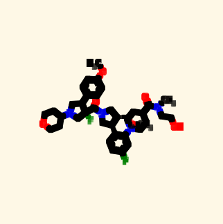 COC[C@H]1CN(C(=O)[C@]2(F)CN(C3CCOCC3)CC2c2ccc(OC)cc2)C[C@@H]1c1ccc(F)cc1N1CCC(C(=O)N(C)CCO)CC1